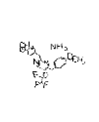 COc1ccc(Cc2ncc(OC(F)C(F)F)c(Cc3ccc(OC)cc3)n2)cc1.N